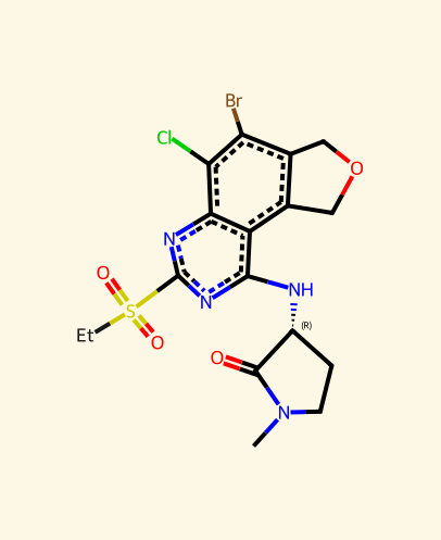 CCS(=O)(=O)c1nc(N[C@@H]2CCN(C)C2=O)c2c3c(c(Br)c(Cl)c2n1)COC3